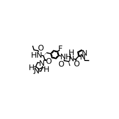 CCC(=O)N[C@H](Cc1ccc(NC(=O)[C@H](C)NC(=O)c2ccnn2CC)c(F)c1)C(=O)N1C[C@@H]2C[C@H]1CN2C